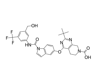 CC(C)(C)c1nc2c(c(Oc3ccc4c(ccn4C(=O)Nc4cc(CO)cc(C(F)(F)F)c4)c3)n1)CCN(C(=O)O)C2